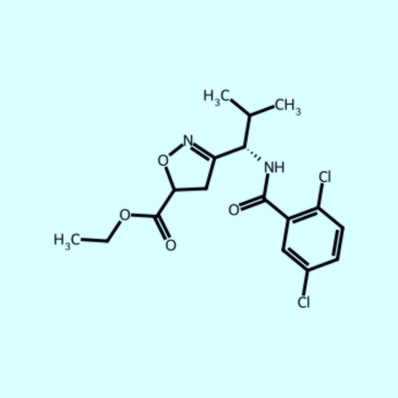 CCOC(=O)C1CC([C@@H](NC(=O)c2cc(Cl)ccc2Cl)C(C)C)=NO1